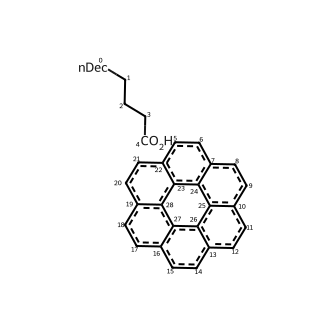 CCCCCCCCCCCCCC(=O)O.c1cc2ccc3ccc4ccc5ccc6ccc1c1c2c3c4c5c61